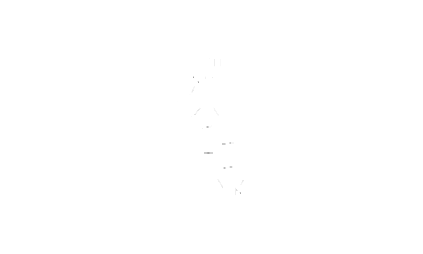 CO/N=C1/CCc2cc(C(=O)C(=O)c3ccncc3)ccc21